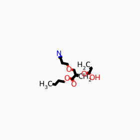 C=C(COCCC#N)C(=O)OCCCC.C=CC(=O)O